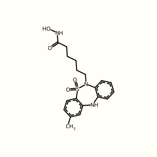 Cc1ccc2c(c1)Nc1ccccc1N(CCCCCC(=O)NO)S2(=O)=O